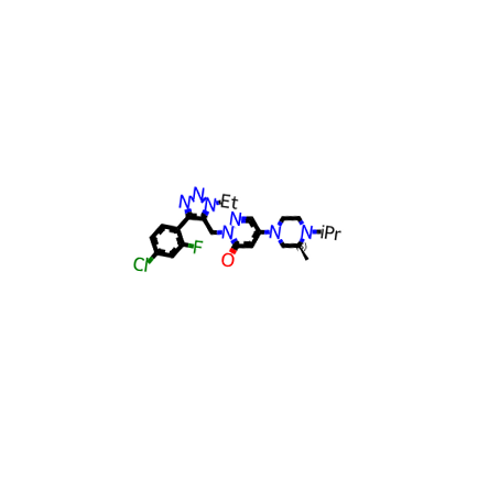 CCn1nnc(-c2ccc(Cl)cc2F)c1Cn1ncc(N2CCN(C(C)C)[C@@H](C)C2)cc1=O